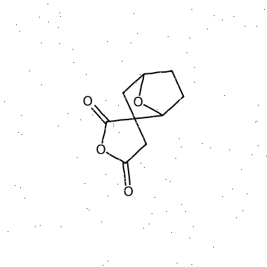 O=C1CC2(CC3CCC2O3)C(=O)O1